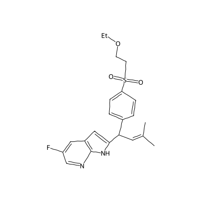 CCOCCS(=O)(=O)c1ccc(C(C=C(C)C)c2cc3cc(F)cnc3[nH]2)cc1